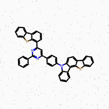 c1ccc(-c2nc(-c3ccc(-n4c5ccccc5c5c6sc7ccccc7c6ccc54)cc3)cc(-c3cccc4c3sc3ccccc34)n2)cc1